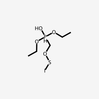 CCO[PH](O)(COSI)OCC